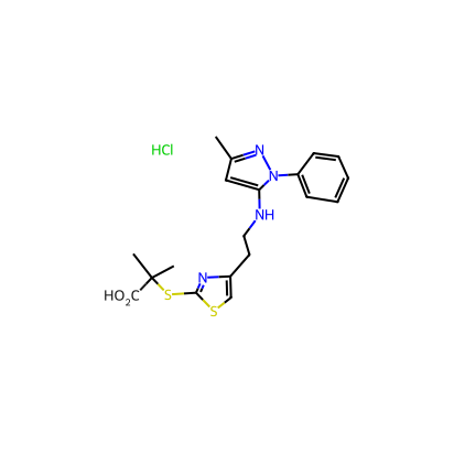 Cc1cc(NCCc2csc(SC(C)(C)C(=O)O)n2)n(-c2ccccc2)n1.Cl